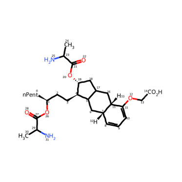 CCCCC[C@@H](CC[C@@H]1C2C[C@H]3C=CC=C(OCC(=O)O)[C@H]3CC2C[C@H]1OC(=O)C(C)N)OC(=O)C(C)N